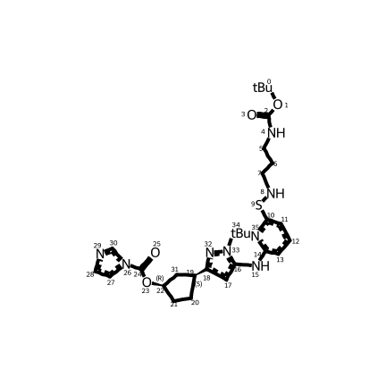 CC(C)(C)OC(=O)NCCCNSc1cccc(Nc2cc([C@H]3CC[C@@H](OC(=O)n4ccnc4)C3)nn2C(C)(C)C)n1